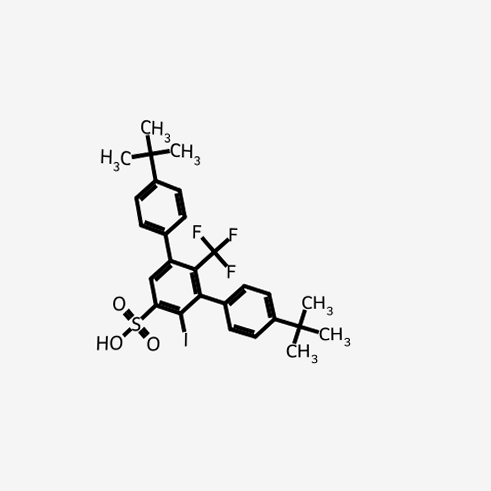 CC(C)(C)c1ccc(-c2cc(S(=O)(=O)O)c(I)c(-c3ccc(C(C)(C)C)cc3)c2C(F)(F)F)cc1